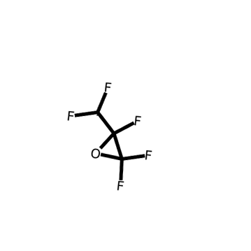 F[C](F)C1(F)OC1(F)F